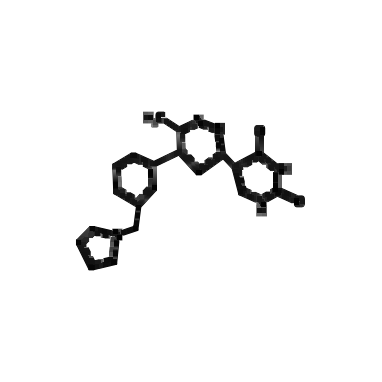 Cc1nnc(-c2c[nH]c(=O)[nH]c2=O)cc1-c1cccc(Cn2cccc2)c1